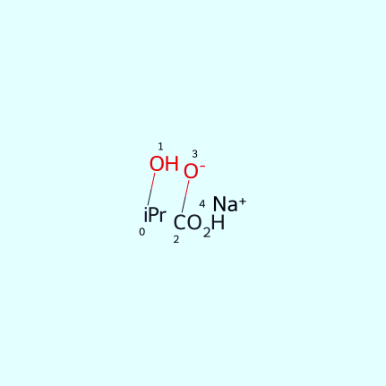 CC(C)O.O=C([O-])O.[Na+]